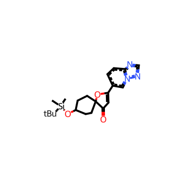 CC(C)(C)[Si](C)(C)OC1CCC2(CC1)OC(c1ccc3ncnn3c1)=CC2=O